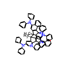 CC1(C2(C)c3cc(N(c4ccccc4)c4ccccc4)cnc3-c3c2cc(N(c2ccccc2)c2ccccc2)c2ccccc32)c2cc(N(c3ccccc3)c3ccccc3)cnc2-c2c1cc(N(c1ccccc1)c1ccccc1)c1ccccc21